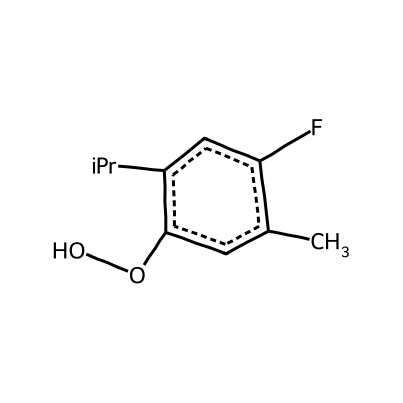 Cc1cc(OO)c(C(C)C)cc1F